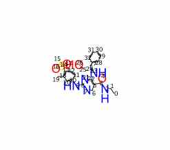 CCNC(=O)c1cnc(Nc2ccc(S(C)(=O)=O)c(C)c2)nc1N[C@H](CO)c1ccccc1